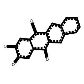 O=c1cc2c(=O)c3cc4ccccc4cc3c(=O)c-2cc1=O